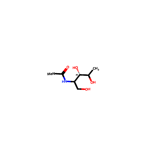 CNC(=O)NC(CO)[C@H](O)C(C)O